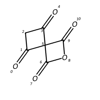 O=C1CC(=O)C12C(=O)OC2=O